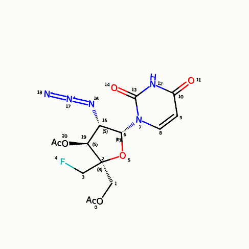 CC(=O)OC[C@@]1(CF)O[C@@H](n2ccc(=O)[nH]c2=O)[C@@H](N=[N+]=[N-])[C@@H]1OC(C)=O